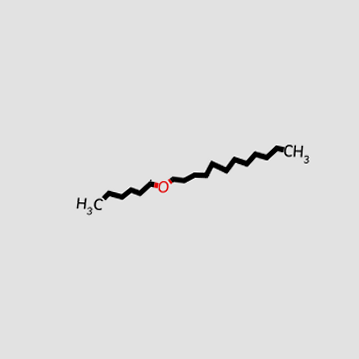 CCCCC[CH]OCCCCCCCCCCCC